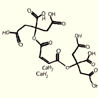 O=C(O)CC(CC(=O)O)(OC(=O)/C=C\C(=O)OC(CC(=O)O)(CC(=O)O)C(=O)O)C(=O)O.[CaH2].[CaH2]